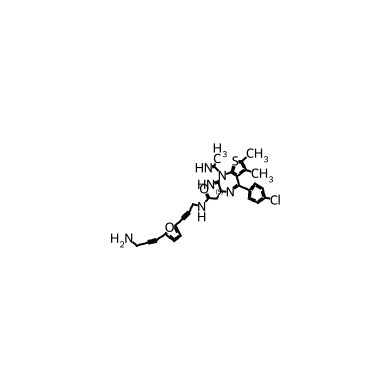 CC(=N)N1C(=N)[C@H](CC(=O)NCC#Cc2ccc(C#CCN)o2)N=C(c2ccc(Cl)cc2)c2c1sc(C)c2C